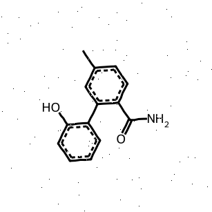 Cc1ccc(C(N)=O)c(-c2ccccc2O)c1